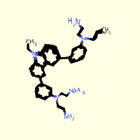 CCCN(CCN)c1cccc(-c2ccc3c(c2)c2cc(-c4cccc(N(CCN)CCN)c4)ccc2n3CC)c1